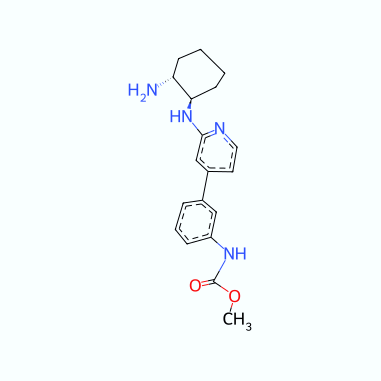 COC(=O)Nc1cccc(-c2ccnc(N[C@@H]3CCCC[C@H]3N)c2)c1